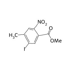 COC(=O)c1cc(I)c(C)cc1[N+](=O)[O-]